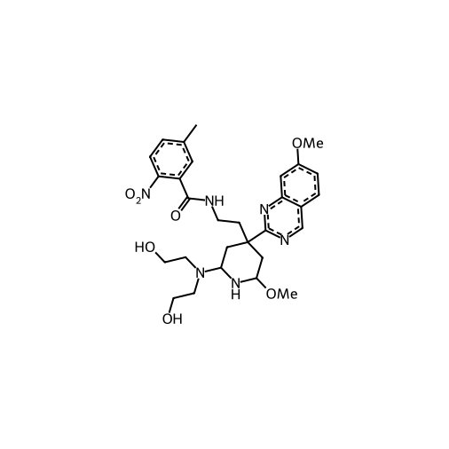 COc1ccc2cnc(C3(CCNC(=O)c4cc(C)ccc4[N+](=O)[O-])CC(OC)NC(N(CCO)CCO)C3)nc2c1